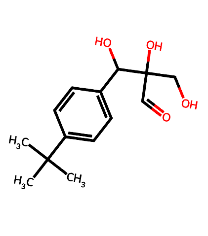 CC(C)(C)c1ccc(C(O)C(O)(C=O)CO)cc1